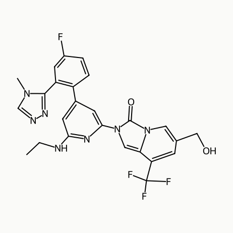 CCNc1cc(-c2ccc(F)cc2-c2nncn2C)cc(-n2cc3c(C(F)(F)F)cc(CO)cn3c2=O)n1